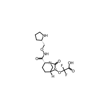 O=C(NOC[C@@H]1CCCN1)[C@H]1CC[C@@H]2CN1C(=O)N2OC(F)(F)C(=O)O